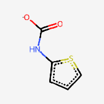 [O]C(=O)Nc1cccs1